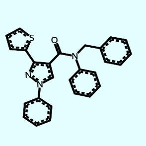 O=C(c1cn(-c2ccccc2)nc1-c1cccs1)N(Cc1ccccc1)c1ccccc1